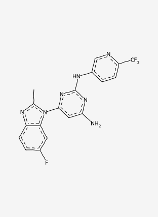 Cc1nc2ccc(F)cc2n1-c1cc(N)nc(Nc2ccc(C(F)(F)F)nc2)n1